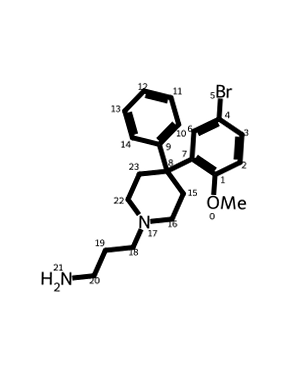 COc1ccc(Br)cc1C1(c2ccccc2)CCN(CCCN)CC1